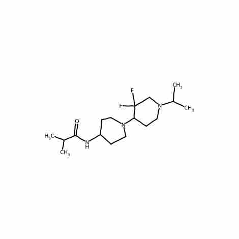 CC(C)C(=O)NC1CCN(C2CCN(C(C)C)CC2(F)F)CC1